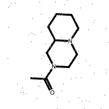 CC(=O)N1CCN2CCCCC2C1